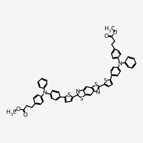 COC(=O)CCc1ccc(N(c2ccccc2)c2ccc(-c3ccc(-c4nc5cc6sc(-c7ccc(-c8ccc(N(c9ccccc9)c9ccc(CCC(=O)OC)cc9)cc8)s7)nc6cc5s4)s3)cc2)cc1